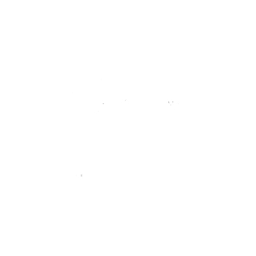 CCOC(OC)Oc1ccc(C=O)cc1C12CC3CC(CC(C3)C1)C2